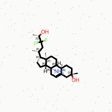 C[C@H](CC(F)(F)[C@H](C)O)[C@H]1CC[C@@H]2[C@]1(C)CC[C@H]1[C@@]2(N)CC=C2C[C@@](C)(O)CC[C@@]21C